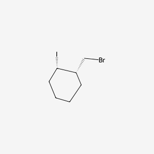 BrC[C@@H]1CCCC[C@@H]1I